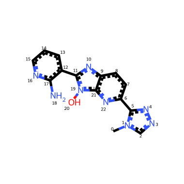 Cn1cnnc1-c1ccc2nc(-c3cccnc3N)n(O)c2n1